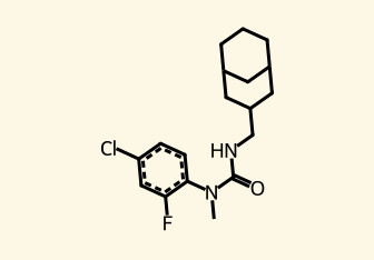 CN(C(=O)NCC1CC2CCCC(C2)C1)c1ccc(Cl)cc1F